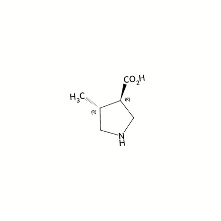 C[C@H]1CNC[C@@H]1C(=O)O